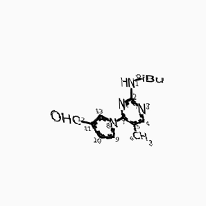 CCC(C)Nc1ncc(C)c(-n2ccc(C=O)c2)n1